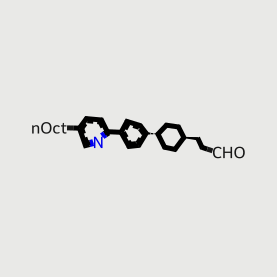 CCCCCCCCc1ccc(-c2ccc([C@H]3CC[C@H](CCC=O)CC3)cc2)nc1